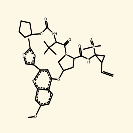 C=CC1CC1(NC(=O)C1CC(Oc2cc(-c3csc(C)n3)nc3cc(OC)ccc23)CN1C(=O)C(NC(=O)OC1CCCC1)C(C)(C)C)P(C)(C)=O